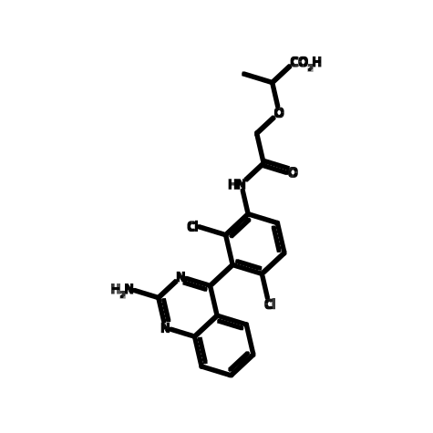 CC(OCC(=O)Nc1ccc(Cl)c(-c2nc(N)nc3ccccc23)c1Cl)C(=O)O